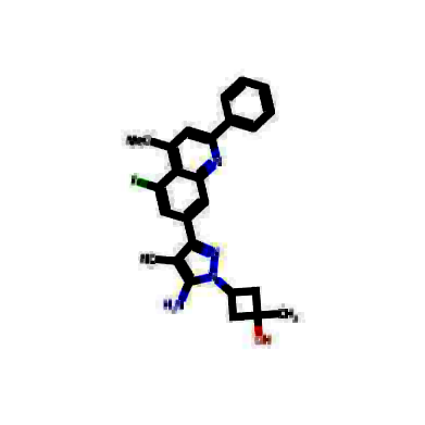 COc1cc(-c2ccccc2)nc2cc(-c3nn(C4CC(C)(O)C4)c(N)c3C#N)cc(F)c12